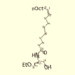 CCCCCCCC/C=C\CCCCCCCC(=O)N[C@@H](CO)C(=O)OCC